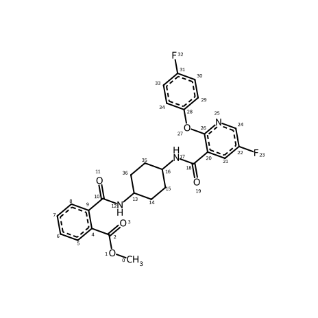 COC(=O)c1ccccc1C(=O)NC1CCC(NC(=O)c2cc(F)cnc2Oc2ccc(F)cc2)CC1